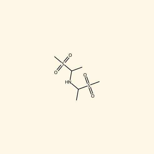 CC(NC(C)S(C)(=O)=O)S(C)(=O)=O